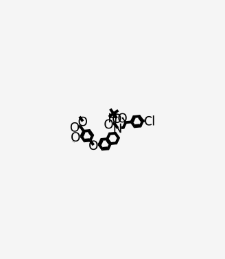 COC(=O)c1ccc(Oc2ccc3c(c2)C[C@@H](N(C[C@@H](O)c2ccc(Cl)cc2)C(=O)OC(C)(C)C)CC3)cc1OC